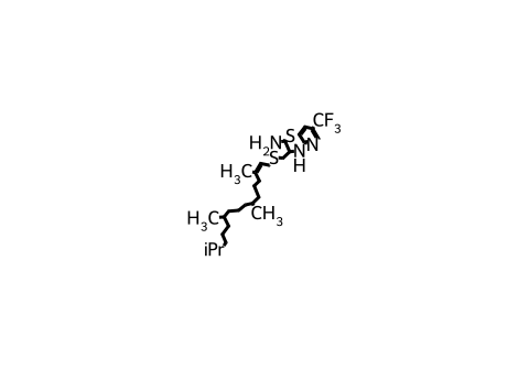 CC(=CCSCC(Nc1ccc(C(F)(F)F)cn1)C(N)=S)CCCC(C)CCCC(C)CCCC(C)C